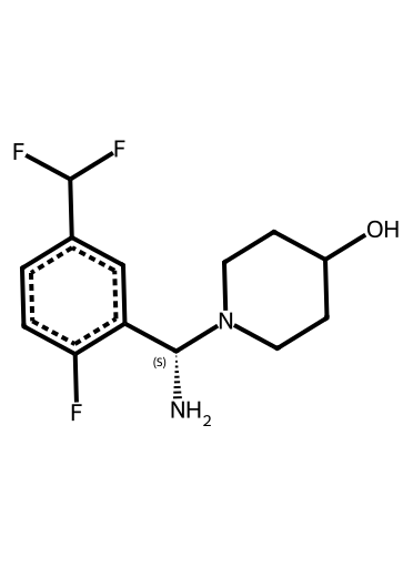 N[C@H](c1cc(C(F)F)ccc1F)N1CCC(O)CC1